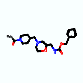 CNC(=O)N1CCC(CN2CCOC(CNC(=O)OCc3ccccc3)C2)CC1